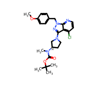 COc1ccc(Cn2nc(N3CC[C@@H](N(C)C(=O)OC(C)(C)C)C3)c3c(Cl)ccnc32)cc1